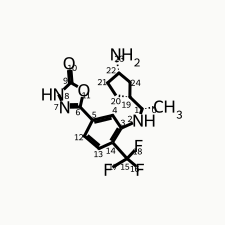 C[C@H](Nc1cc(-c2n[nH]c(=O)o2)ccc1C(F)(F)F)[C@@H]1CC[C@H](N)C1